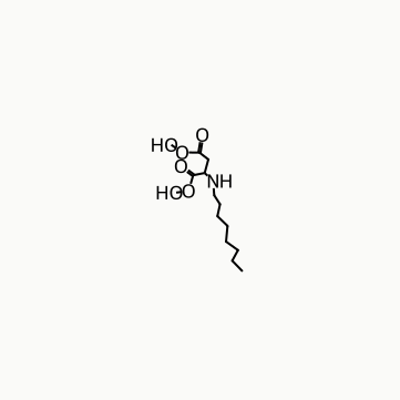 CCCCCCCCNC(CC(=O)OO)C(=O)OO